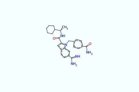 C[C@@H](NC(=O)c1cc2ccc(C(=N)N)cc2n1Cc1ccc(C(N)=O)cc1)C1CCCCC1